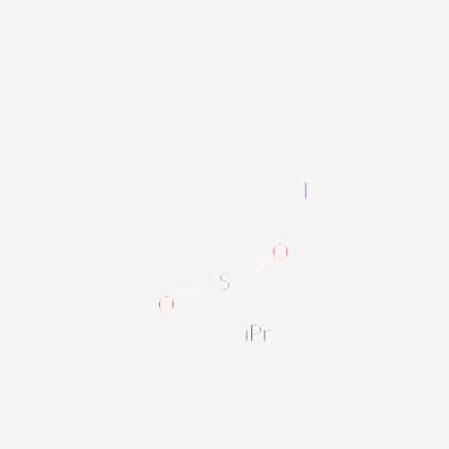 CC(C)S(=O)(=O)c1ccccc1I